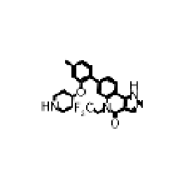 Cc1ccc(-c2ccc3c4[nH]ncc4c(=O)n(CC(F)(F)F)c3c2)c(OC2CCNCC2)c1